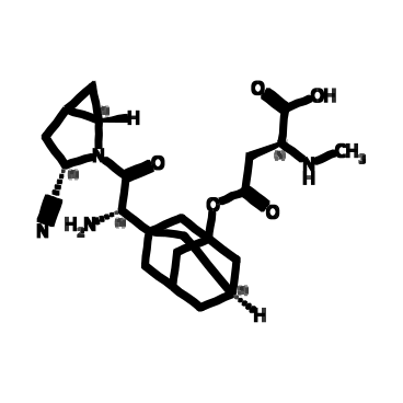 CN[C@@H](CC(=O)OC12CC3C[C@H](C1)CC([C@H](N)C(=O)N1[C@H](C#N)CC4C[C@@H]41)(C3)C2)C(=O)O